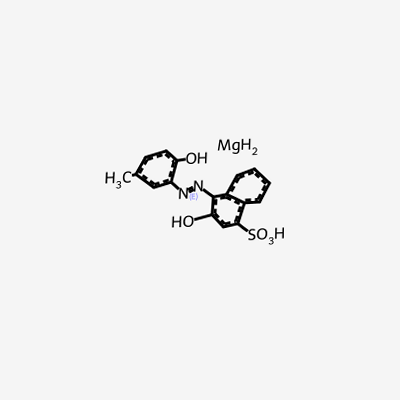 Cc1ccc(O)c(/N=N/c2c(O)cc(S(=O)(=O)O)c3ccccc23)c1.[MgH2]